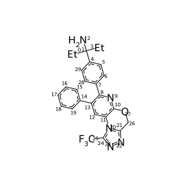 CCC(N)(CC)c1ccc(-c2nc3c(cc2-c2ccccc2)-n2c(nnc2C(F)(F)F)CO3)cc1